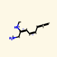 C=C=C/C=C\C=C(/CN)NC